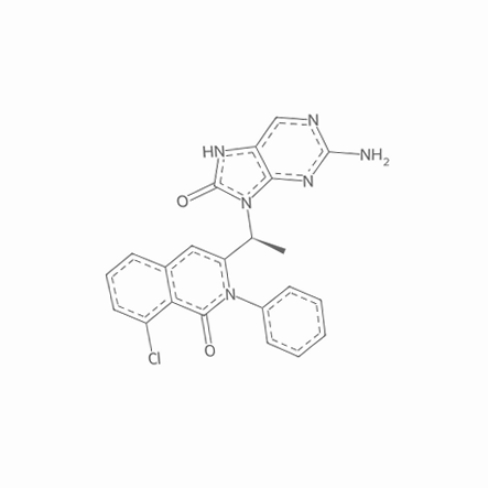 C[C@@H](c1cc2cccc(Cl)c2c(=O)n1-c1ccccc1)n1c(=O)[nH]c2cnc(N)nc21